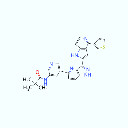 CC(C)(C)C(=O)Nc1cncc(-c2ccc3[nH]nc(-c4cc5c(-c6ccsc6)nccc5[nH]4)c3n2)c1